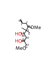 C=CC[C@@H](OC)C(C)(C)[C@H](O)C[C@H](O)COC